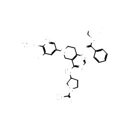 CCC(=O)N1CCC(Nc2ncnc3c2CN(c2cnc(OC)c(C(F)(F)F)c2)CC3)C1.O=C(O)CNC(=O)c1ccccc1